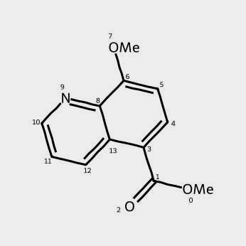 COC(=O)c1ccc(OC)c2ncccc12